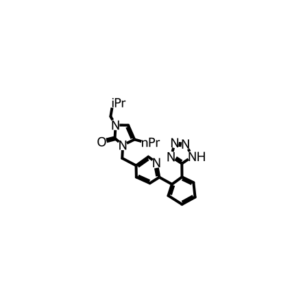 CCCc1cn(CC(C)C)c(=O)n1Cc1ccc(-c2ccccc2-c2nnn[nH]2)nc1